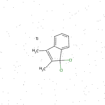 CC1=C(C)C(Cl)(Cl)c2ccccc21.[Ti]